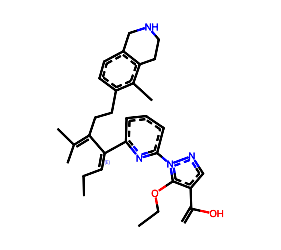 C=C(O)c1cnn(-c2cccc(/C(=C/CC)C(CCc3ccc4c(c3C)CCNC4)=C(C)C)n2)c1OCC